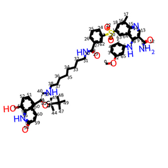 COc1cccc(Nc2c(C(N)=O)cnc3c(C)cc(S(=O)(=O)c4cccc(C(=O)NCCCCCCCCNC[C@H](O[Si](C)(C)C(C)(C)C)c5ccc(O)c6[nH]c(=O)ccc56)c4)cc23)c1